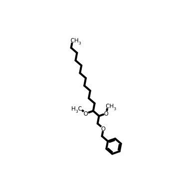 CCCCCCCCCCCC(OC)C(COCc1ccccc1)OC